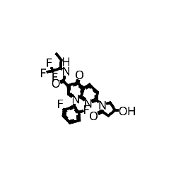 CCC(NC(=O)c1cn(-c2c(F)cccc2F)c2nc(N3CC(O)CC3=O)ccc2c1=O)C(F)(F)F